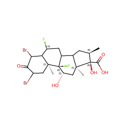 C[C@@H]1CC2C3C[C@H](F)C4C(Br)C(=O)C(Br)C[C@]4(C)[C@@]3(F)[C@@H](O)C[C@]2(C)[C@@]1(O)C(=O)O